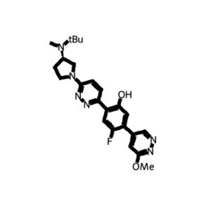 COc1cc(-c2cc(O)c(-c3ccc(N4CC[C@@H](N(C)C(C)(C)C)C4)nn3)cc2F)cnn1